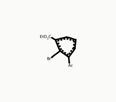 CCOC(=O)c1cccc(C(C)=O)c1Br